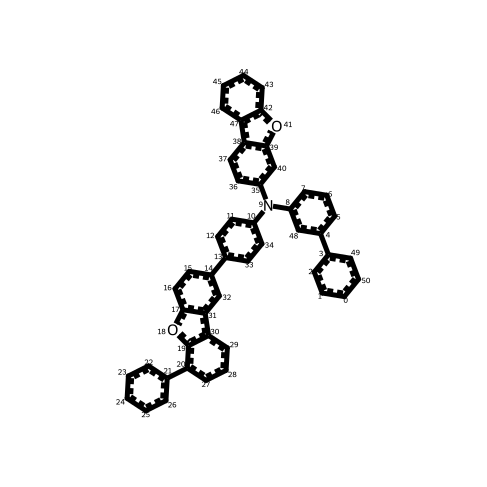 c1ccc(-c2cccc(N(c3ccc(-c4ccc5oc6c(-c7ccccc7)cccc6c5c4)cc3)c3ccc4c(c3)oc3ccccc34)c2)cc1